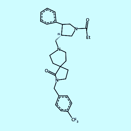 CCC(=O)N1CC(c2ccccc2)[C@@H](CN2CCC3(CC2)CCN(Cc2ccc(C(F)(F)F)cc2)C3=O)C1